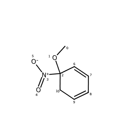 COC1([N+](=O)[O-])C=CC=CC1